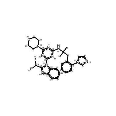 CC(C)(Cc1ccccc1-n1ccnc1)Nc1nc(N2CCOCC2)nc(-n2c(C(F)F)nc3ccccc32)n1